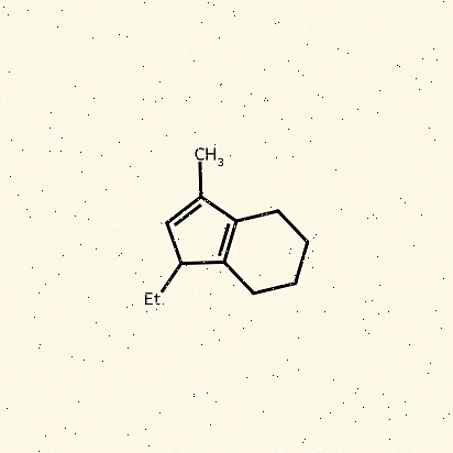 CCC1[C]=C(C)C2=C1CCCC2